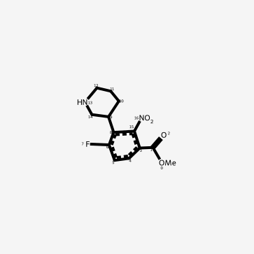 COC(=O)c1ccc(F)c(C2CCCNC2)c1[N+](=O)[O-]